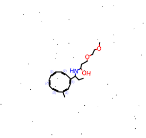 CCC(NC(O)CCOCCOC)C1=C/C=C(C)\C=C/C=C\C=C/C=C\1